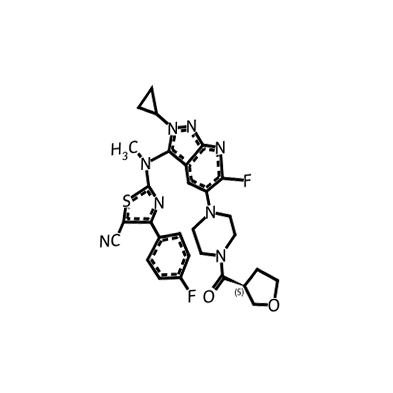 CN(c1nc(-c2ccc(F)cc2)c(C#N)s1)c1c2cc(N3CCN(C(=O)[C@H]4CCOC4)CC3)c(F)nc2nn1C1CC1